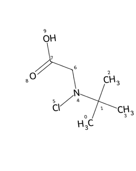 CC(C)(C)N(Cl)CC(=O)O